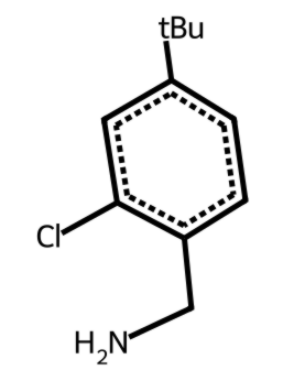 CC(C)(C)c1ccc(CN)c(Cl)c1